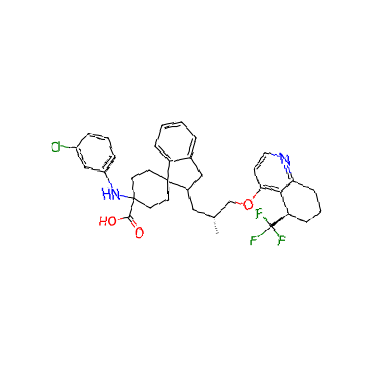 C[C@@H](COc1ccnc2c1[C@H](C(F)(F)F)CCC2)CC1Cc2ccccc2C12CCC(Nc1cccc(Cl)c1)(C(=O)O)CC2